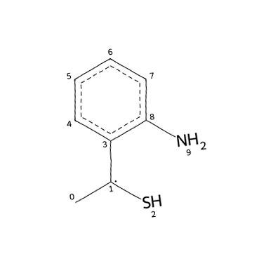 C[C](S)c1ccccc1N